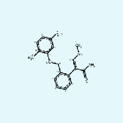 CON=C(C(N)=O)c1ccccc1COc1cc(C)ccc1C